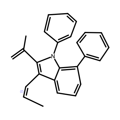 C=C(C)c1c(/C=C\C)c2cccc(-c3ccccc3)c2n1-c1ccccc1